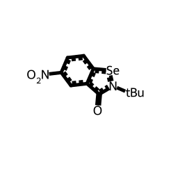 CC(C)(C)n1[se]c2ccc([N+](=O)[O-])cc2c1=O